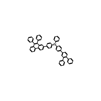 c1ccc(-c2ccc(-c3ccc(N(c4ccccc4)c4ccc(-c5ccc6c(c5)c(-c5ccccc5)c(-c5ccccc5)c5ccccc56)cc4)cc3)cc2-c2ccccc2)cc1